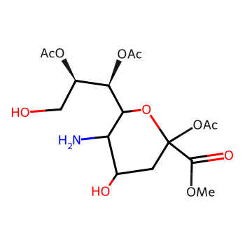 COC(=O)C1(OC(C)=O)CC(O)C(N)C([C@H](OC(C)=O)[C@@H](CO)OC(C)=O)O1